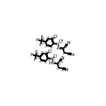 N#CCC(C#N)=NN(Cl)c1ccc(C(F)(F)F)cc1Cl.N#CCC(C#N)NN(Cl)c1ccc(C(F)(F)F)cc1Cl